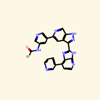 CCC(=O)Nc1cncc(-c2cc3c(-c4nc5c(-c6cccnc6)ccnc5[nH]4)n[nH]c3cn2)c1